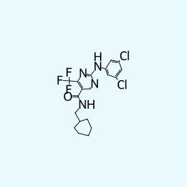 O=C(NCC1CCCCC1)c1cnc(Nc2cc(Cl)cc(Cl)c2)nc1C(F)(F)F